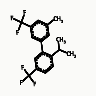 Cc1cc(-c2cc(C(F)(F)F)ccc2C(C)C)cc(C(F)(F)F)c1